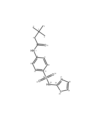 CC(C)(C)CC(=O)Nc1ccc(S(=O)(=O)Nc2nccs2)cc1